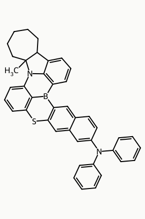 CC12CCCCCC1c1cccc3c1N2c1cccc2c1B3c1cc3ccc(N(c4ccccc4)c4ccccc4)cc3cc1S2